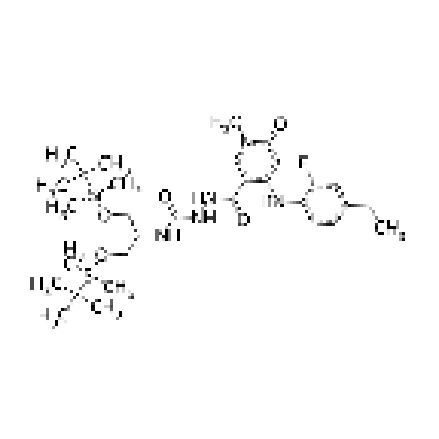 CCc1ccc(Nc2cc(=O)n(C)cc2C(=O)NNC(=O)NC(CO[Si](C)(C)C(C)(C)C)CO[Si](C)(C)C(C)(C)C)c(F)c1